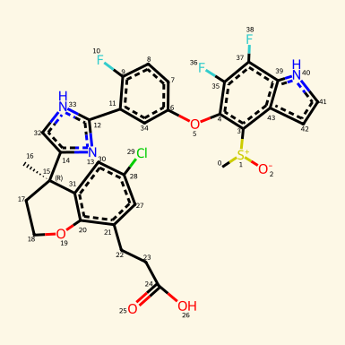 C[S+]([O-])c1c(Oc2ccc(F)c(-c3nc([C@]4(C)CCOc5c(CCC(=O)O)cc(Cl)cc54)c[nH]3)c2)c(F)c(F)c2[nH]ccc12